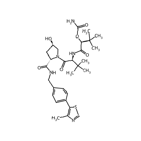 Cc1ncsc1-c1ccc(CNC(=O)[C@@H]2C[C@@H](O)CN2C(=O)[C@@H](NC(=O)C(OC(N)=O)C(C)(C)C)C(C)(C)C)cc1